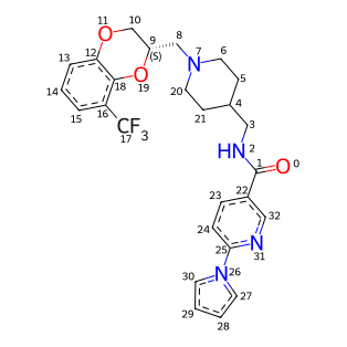 O=C(NCC1CCN(C[C@H]2COc3cccc(C(F)(F)F)c3O2)CC1)c1ccc(-n2cccc2)nc1